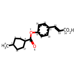 CC1CCC(C(=O)Oc2ccc(C=CC(=O)O)cc2)CC1